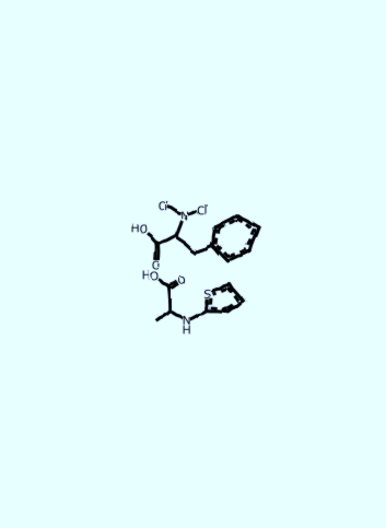 CC(Nc1cccs1)C(=O)O.O=C(O)C(Cc1ccccc1)N(Cl)Cl